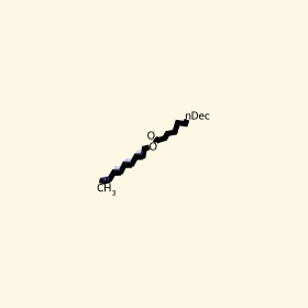 C/C=C/C=C/C=C/C=C/COC(=O)CCCCCCCCCCCCCCC